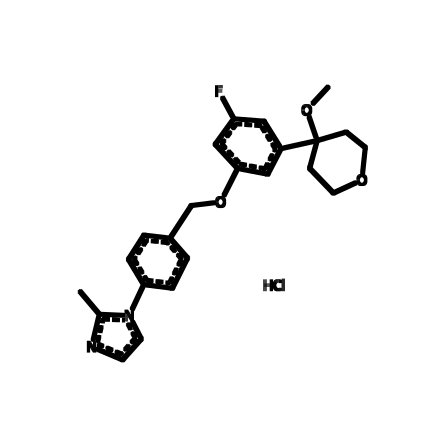 COC1(c2cc(F)cc(OCc3ccc(-n4ccnc4C)cc3)c2)CCOCC1.Cl